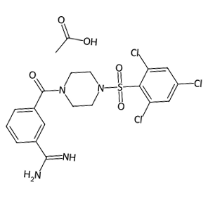 CC(=O)O.N=C(N)c1cccc(C(=O)N2CCN(S(=O)(=O)c3c(Cl)cc(Cl)cc3Cl)CC2)c1